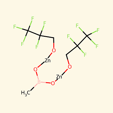 CB([O][Zn][O]CC(F)(F)C(F)(F)F)[O][Zn][O]CC(F)(F)C(F)(F)F